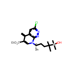 C=C1C(C(=O)OCC)=CN([C@H](CCC(C)(C)[Si](C)(C)O)C(C)C)c2nnc(Cl)cc21